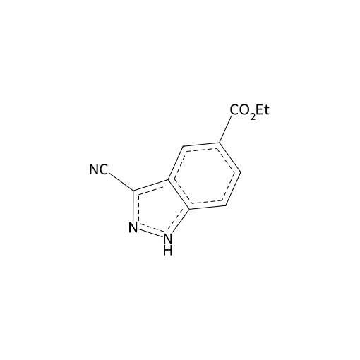 CCOC(=O)c1ccc2[nH]nc(C#N)c2c1